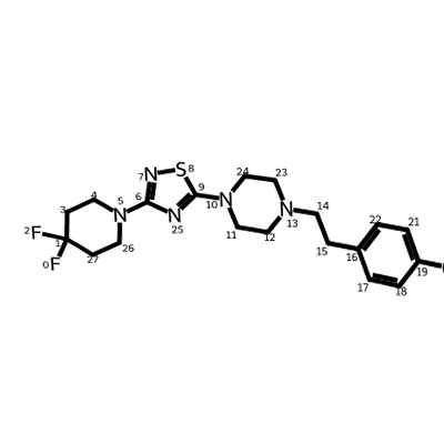 FC1(F)CCN(c2nsc(N3CCN(CCc4ccc(Cl)cc4)CC3)n2)CC1